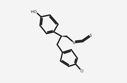 Oc1ccc([C@@H](CN=C=S)Cc2ccc(Cl)cc2)cc1